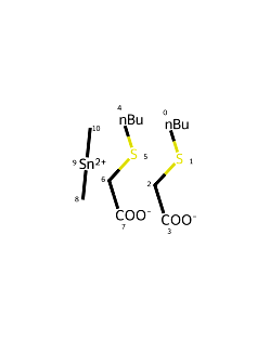 CCCCSCC(=O)[O-].CCCCSCC(=O)[O-].[CH3][Sn+2][CH3]